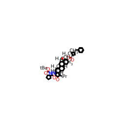 CC(C)C1=C2[C@H]3CC[C@@H]4[C@@]5(C)CC[C@H](OC(=O)[C@H]6C[C@@H](Cc7ccccc7)C6(C)C)C(C)(C)[C@@H]5CC[C@@]4(C)[C@]3(C)CC[C@@]2(NC(=O)C2(NC(=O)OC(C)(C)C)CCCC2)CC1=O